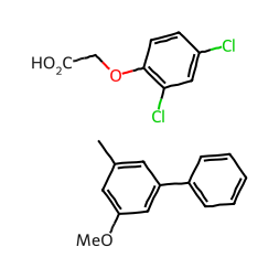 COc1cc(C)cc(-c2ccccc2)c1.O=C(O)COc1ccc(Cl)cc1Cl